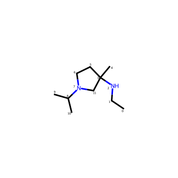 CCNC1(C)CCN(C(C)C)C1